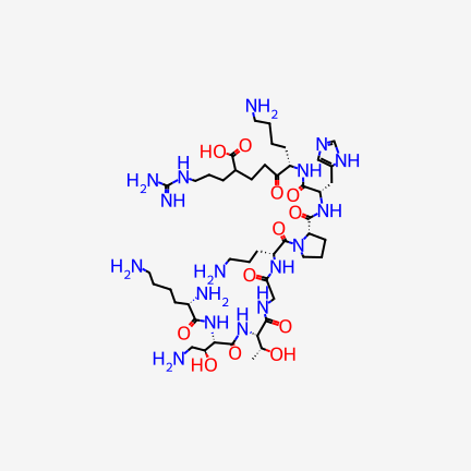 C[C@@H](O)[C@H](NC(=O)[C@@H](NC(=O)[C@@H](N)CCCCN)[C@@H](O)CN)C(=O)NCC(=O)N[C@H](CCCN)C(=O)N1CCC[C@H]1C(=O)N[C@@H](Cc1cnc[nH]1)C(=O)N[C@@H](CCCCN)C(=O)CCC(CCCNC(=N)N)C(=O)O